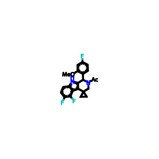 COc1cc(F)ccc1C1c2[nH]c3ccc(F)c(F)c3c2C2(CC2)CN1C(C)=O